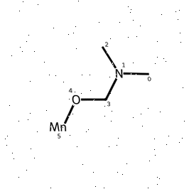 CN(C)C[O][Mn]